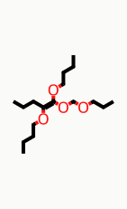 CCCCO/C(CCC)=C(/OCCCC)OCOCCC